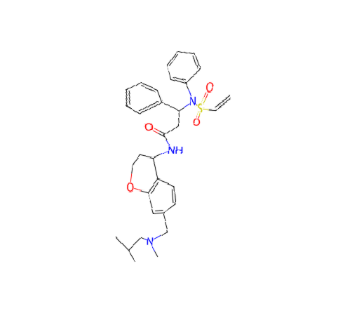 C=CS(=O)(=O)N(c1ccccc1)C(CC(=O)NC1CCOc2cc(CN(C)CC(C)C)ccc21)c1ccccc1